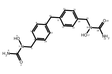 NC(=O)N(O)Cc1ccc(Cc2ccc(CN(O)C(N)=O)cc2)cc1